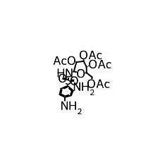 CC(=O)OCC1O[C@@H](NS(=O)(=O)c2ccc(N)cc2N)C(OC(C)=O)C(OC(C)=O)[C@@H]1OC(C)=O